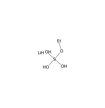 CCO[Si](O)(O)O.[LiH]